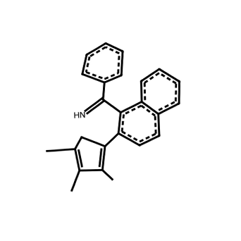 CC1=C(C)C(C)=C(c2ccc3ccccc3c2C(=N)c2ccccc2)C1